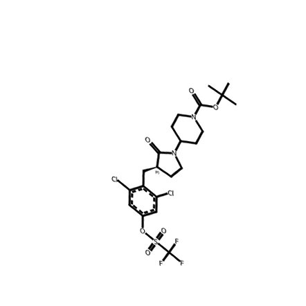 CC(C)(C)OC(=O)N1CCC(N2CC[C@@H](Cc3c(Cl)cc(OS(=O)(=O)C(F)(F)F)cc3Cl)C2=O)CC1